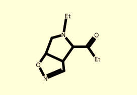 CCC(=O)C1C2C=NOC2CN1CC